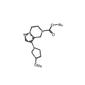 COC1CCN(c2cnn3c2CN(C(=O)OC(C)(C)C)CC3)C1